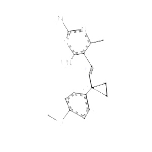 COc1ccc(C2(/C=C/c3c(C)nc(N)nc3N)CC2)cc1